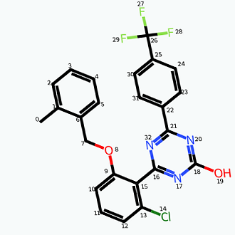 Cc1ccccc1COc1cccc(Cl)c1-c1nc(O)nc(-c2ccc(C(F)(F)F)cc2)n1